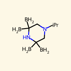 BC1(B)CN(C(C)C)CC(B)(B)N1